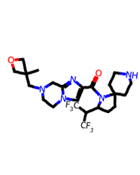 CC1(CN2CCn3cc(C(=O)N4C(C(C(F)(F)F)C(F)(F)F)CCC45CCNCC5)nc3C2)COC1